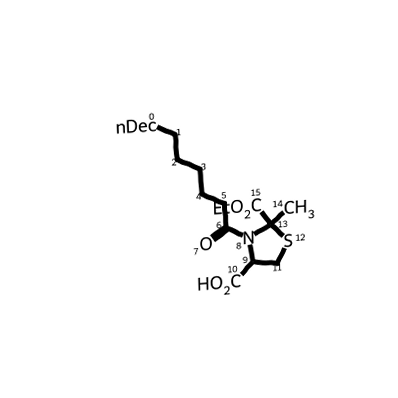 CCCCCCCCCCCCCCCC(=O)N1C(C(=O)O)CSC1(C)C(=O)OCC